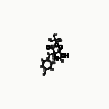 Cc1ccc(C[C@@](N)(C(=O)O)C(=O)OC(C)(C)C)cc1